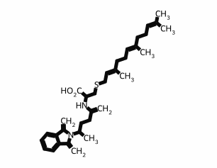 C=C(CCC(C)n1c(=C)c2ccccc2c1=C)NC(CSC/C=C(\C)CC/C=C(\C)CCC=C(C)C)C(=O)O